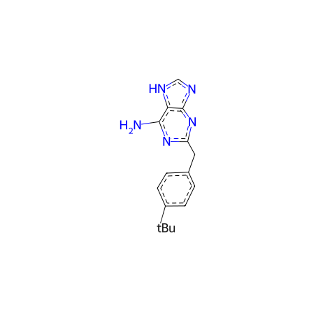 CC(C)(C)c1ccc(Cc2nc(N)c3[nH]cnc3n2)cc1